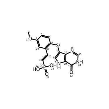 COc1ccc(Sc2c[nH]c3c(=O)[nH]cnc23)c(C=CP(=O)(O)O)c1